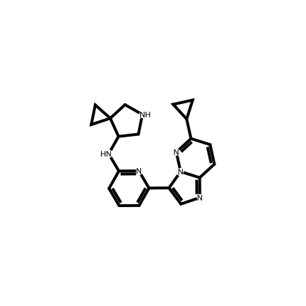 c1cc(NC2CNCC23CC3)nc(-c2cnc3ccc(C4CC4)nn23)c1